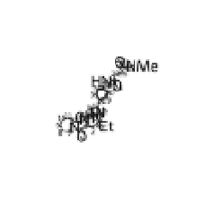 CCc1cc(C(=O)N2CCCCCC2C)nc2cc(-c3ccc(NC(=O)CCC(=O)NC)cc3)nn12